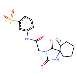 CC1CCCCC12NC(=O)N(CC(=O)Nc1cccc(S(=O)(=O)F)c1)C2=O